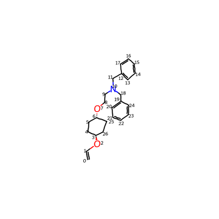 C=CO[C@H]1CC[C@H](OCCN(Cc2ccccc2)Cc2ccccc2)CC1